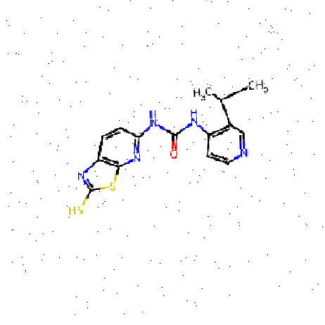 CC(C)c1cnccc1NC(=O)Nc1ccc2nc(S)sc2n1